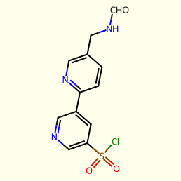 O=CNCc1ccc(-c2cncc(S(=O)(=O)Cl)c2)nc1